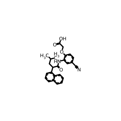 CC(C)CC(C(=O)Nc1cc(C#N)ccc1OCC(=O)O)c1cccc2ccccc12